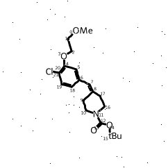 COCCOc1cc(C=C2CCN(C(=O)OC(C)(C)C)CC2)ccc1Cl